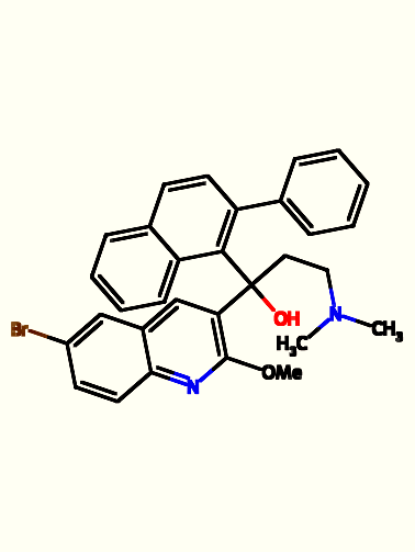 COc1nc2ccc(Br)cc2cc1C(O)(CCN(C)C)c1c(-c2ccccc2)ccc2ccccc12